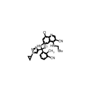 BC(Nc1cc(Cl)c2ncc(C#N)c(NCC(C)(C)C)c2c1)(c1cn(C2CC2)nn1)c1cccc(C#N)c1C